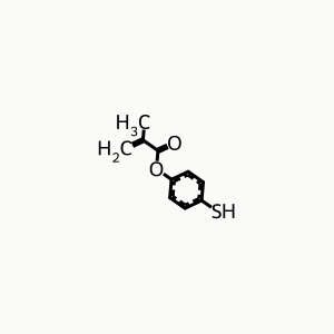 C=C(C)C(=O)Oc1ccc(S)cc1